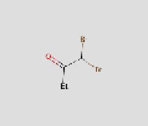 CCC(=O)C(Br)Br